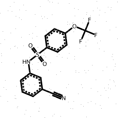 N#Cc1cccc(NS(=O)(=O)c2ccc(OC(F)(F)F)cc2)c1